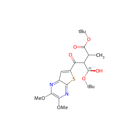 COc1nc2cc(C(=O)C(C(C)C(=O)OC(C)(C)C)[C@@H](O)OC(C)(C)C)sc2nc1OC